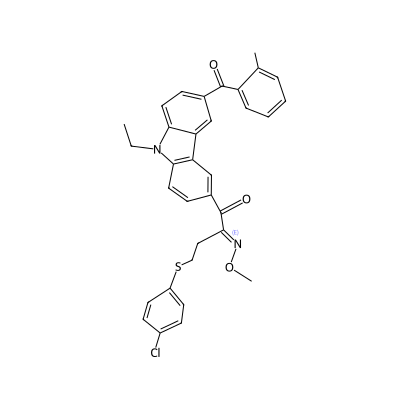 CCn1c2ccc(C(=O)/C(CCSc3ccc(Cl)cc3)=N/OC)cc2c2cc(C(=O)c3ccccc3C)ccc21